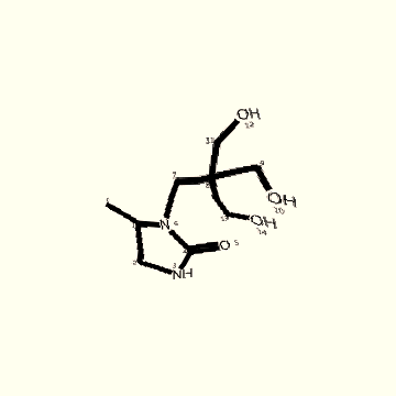 CC1CNC(=O)N1CC(CO)(CO)CO